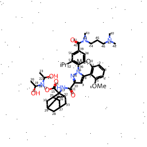 COc1cccc(OC)c1-c1cc(C(=O)NC2(C(=O)ON(C(C)O)C(C)O)C3CC4CC(C3)CC2C4)nn1-c1ccc(C(=O)N(C)CCCN(C)C)cc1C(C)C